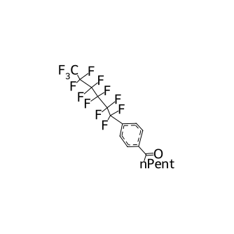 CCCCCC(=O)c1ccc(C(F)(F)C(F)(F)C(F)(F)C(F)(F)C(F)(F)C(F)(F)F)cc1